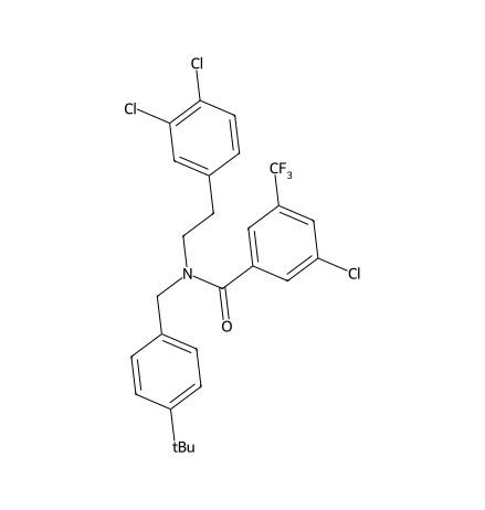 CC(C)(C)c1ccc(CN(CCc2ccc(Cl)c(Cl)c2)C(=O)c2cc(Cl)cc(C(F)(F)F)c2)cc1